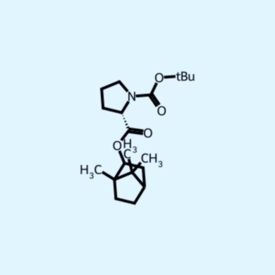 CC(C)(C)OC(=O)N1CCC[C@H]1C(=O)OC1CC2CCC1(C)C2(C)C